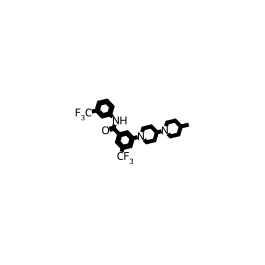 CC1CCN(C2CCN(c3cc(C(=O)Nc4cccc(C(F)(F)F)c4)cc(C(F)(F)F)c3)CC2)CC1